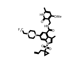 C=CCC1(S(=O)(=O)n2cc(C)c3c(C(=O)NCc4c(OC)cc(C)[nH]c4=O)cc(N4CCN(CC(F)(F)F)CC4)cc32)CC1